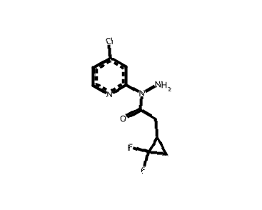 NN(C(=O)CC1CC1(F)F)c1cc(Cl)ccn1